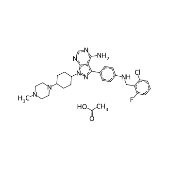 CC(=O)O.CN1CCN(C2CCC(n3nc(-c4ccc(NCc5c(F)cccc5Cl)cc4)c4c(N)ncnc43)CC2)CC1